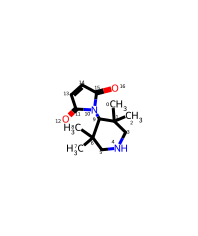 CC1(C)CNCC(C)(C)C1N1C(=O)C=CC1=O